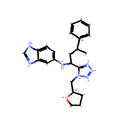 CC(CC(Nc1ccc2[nH]cnc2c1)c1nnnn1CC1CCCO1)c1ccccc1